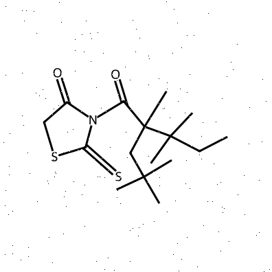 CCC(C)(C)C(C)(CC(C)(C)C)C(=O)N1C(=O)CSC1=S